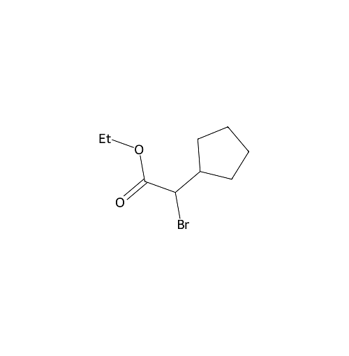 CCOC(=O)C(Br)C1CCCC1